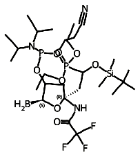 B[C@@H]1O[C@](CC(O[Si](C)(C)C(C)(C)C)P(=O)(OCC)OCC)(NC(=O)C(F)(F)F)CC1OP(OCCC#N)N(C(C)C)C(C)C